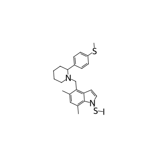 CSc1ccc(C2CCCCN2Cc2c(C)cc(C)c3c2ccn3SI)cc1